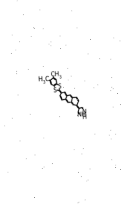 Cc1cc2c(cc1C)SC(=c1ccc3cc4cc(=C(C=N)C=N)ccc4cc3c1)S2